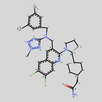 Cn1nnc(N(Cc2cc(C(F)(F)F)cc(C(F)(F)F)c2)Cc2cc3cc(F)c(F)cc3nc2N2CCC[C@@H]2[C@H]2CC[C@H](CC(N)=O)CC2)n1